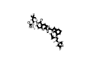 C[C@H](COc1cccc2cc(-c3nc4cc5c(nc4n3C)CCN(C[C@@H](CC(C)(C)C)OC(N)=O)C5=O)n(CC3CC3)c12)n1cnc(F)c1